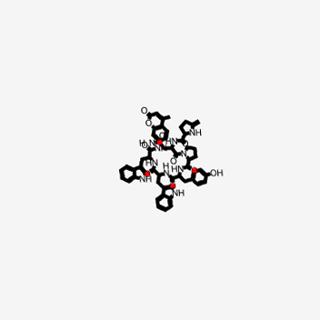 C=C1CCC(C(=O)NC(CC(N)=O)C(=O)N2CCCC2C(=O)NC(Cc2ccc(O)cc2)C(=O)NC(Cc2c[nH]c3ccccc23)C(=O)NC(Cc2c[nH]c3ccccc23)C(=O)Nc2ccc3c(C)cc(=O)oc3c2)N1